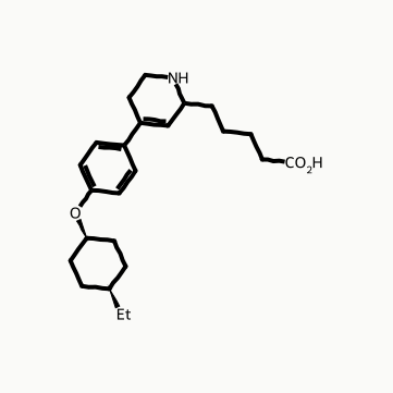 CC[C@H]1CC[C@@H](Oc2ccc(C3=CC(CCCCC(=O)O)NCC3)cc2)CC1